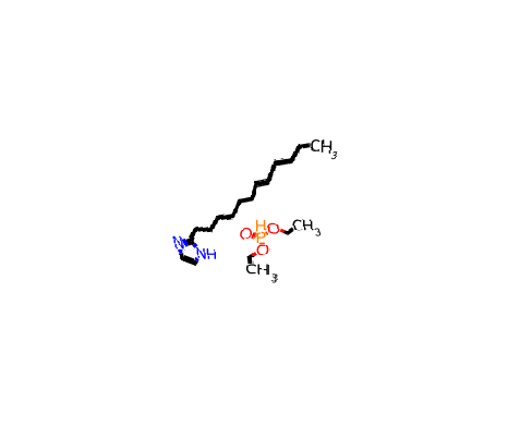 CCCCCCCCCCCCc1ncc[nH]1.CCO[PH](=O)OCC